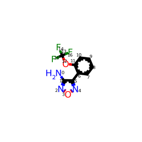 Nc1nonc1-c1ccccc1OC(F)(F)F